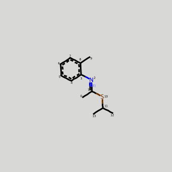 C/C(=N\c1ccccc1C)SC(C)C